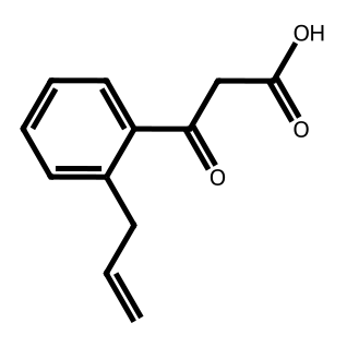 C=CCc1ccccc1C(=O)CC(=O)O